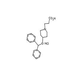 Cl.O=C(O)CCN1CCC(OC(c2ccccc2)c2ccccc2)CC1